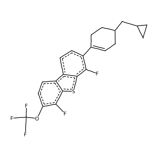 Fc1c(OC(F)(F)F)ccc2c1sc1c(F)c(C3=CCC(CC4CC4)CC3)ccc12